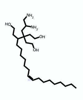 CCCCCCCC/C=C\CCCCCCC(CCO)C(CCO)(CCO)CC(N)CN